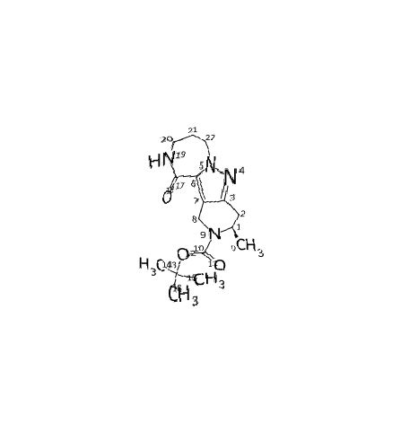 C[C@@H]1Cc2nn3c(c2CN1C(=O)OC(C)(C)C)C(=O)NCCC3